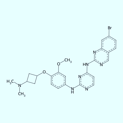 COc1cc(Nc2nccc(Nc3ncc4ccc(Br)cc4n3)n2)ccc1OC1CC(N(C)C)C1